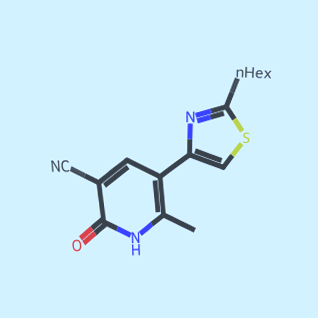 CCCCCCc1nc(-c2cc(C#N)c(=O)[nH]c2C)cs1